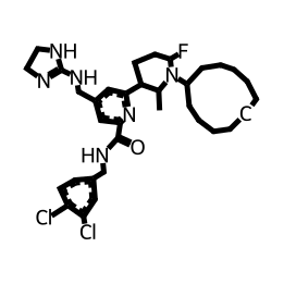 CC1C(c2cc(CNC3=NCCN3)cc(C(=O)NCc3ccc(Cl)c(Cl)c3)n2)CCC(F)N1C1CCCCCCCCCC1